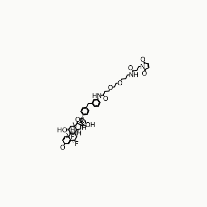 C[C@]12C=CC(=O)C=C1[C@@H](F)C[C@H]1[C@@H]3C[C@H]4O[C@@H](c5ccc(Cc6cccc(NC(=O)CCOCCOCCCNC(=O)CCN7C(=O)C=CC7=O)c6)cc5)O[C@@]4(C(=O)CO)[C@@]3(C)C[C@H](O)[C@@]12F